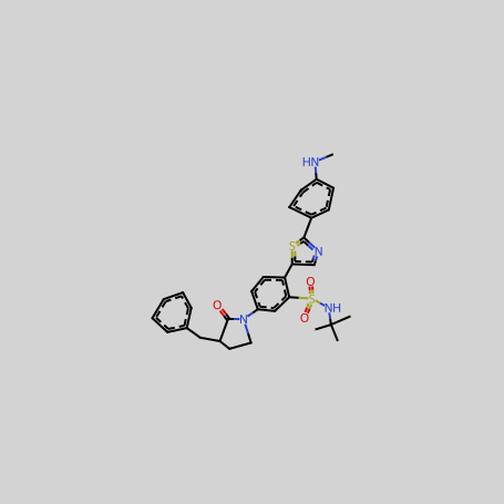 CNc1ccc(-c2ncc(-c3ccc(N4CCC(Cc5ccccc5)C4=O)cc3S(=O)(=O)NC(C)(C)C)s2)cc1